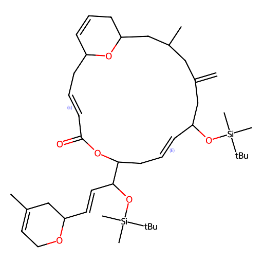 C=C1CC(C)CC2CC=CC(C/C=C/C(=O)OC(C(C=CC3CC(C)=CCO3)O[Si](C)(C)C(C)(C)C)C/C=C/C(O[Si](C)(C)C(C)(C)C)C1)O2